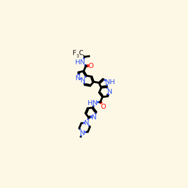 C[C@@H](NC(=O)c1cnn2ccc(-c3c[nH]c4ncc(C(=O)Nc5ccc(N6CCN(C)CC6)nc5)cc34)cc12)C(F)(F)F